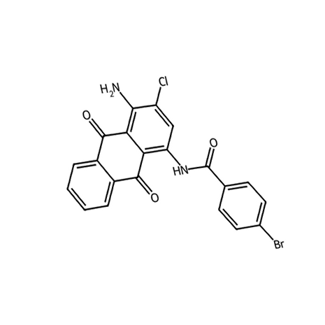 Nc1c(Cl)cc(NC(=O)c2ccc(Br)cc2)c2c1C(=O)c1ccccc1C2=O